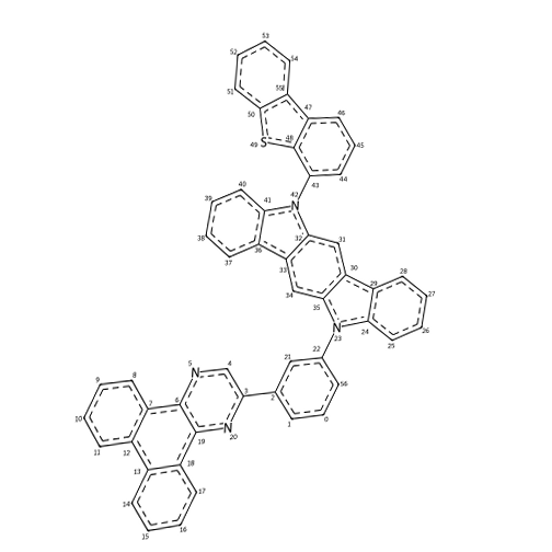 c1cc(-c2cnc3c4ccccc4c4ccccc4c3n2)cc(-n2c3ccccc3c3cc4c(cc32)c2ccccc2n4-c2cccc3c2sc2ccccc23)c1